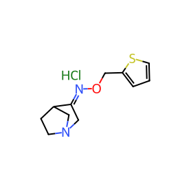 Cl.c1csc(CON=C2CN3CCC2C3)c1